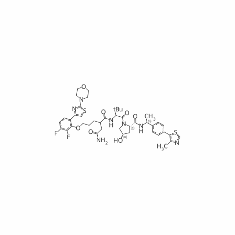 Cc1ncsc1-c1ccc([C@H](C)NC(=O)[C@@H]2C[C@@H](O)CN2C(=O)C(NC(=O)C(CCCOc2c(-c3csc(N4CCOCC4)n3)ccc(F)c2F)CC(N)=O)C(C)(C)C)cc1